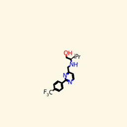 CC(C)[C@H](CO)NCc1ccnc(-c2ccc(C(F)(F)F)cc2)n1